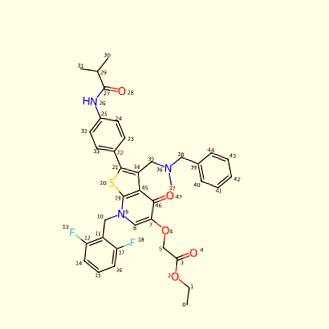 CCOC(=O)COc1cn(Cc2c(F)cccc2F)c2sc(-c3ccc(NC(=O)C(C)C)cc3)c(CN(C)Cc3ccccc3)c2c1=O